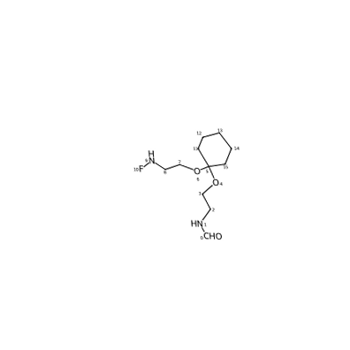 O=CNCCOC1(OCCNF)CCCCC1